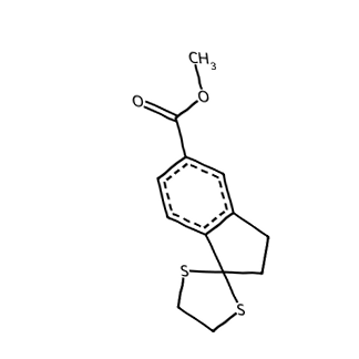 COC(=O)c1ccc2c(c1)CCC21SCCS1